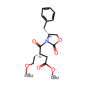 CCCCOCC[C@@H](CC(=O)OC(C)(C)C)C(=O)N1C(=O)OC[C@H]1Cc1ccccc1